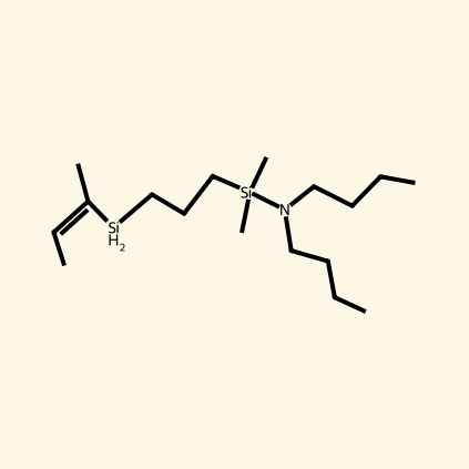 CC=C(C)[SiH2]CCC[Si](C)(C)N(CCCC)CCCC